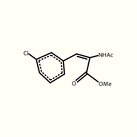 COC(=O)C(=Cc1cccc(Cl)c1)NC(C)=O